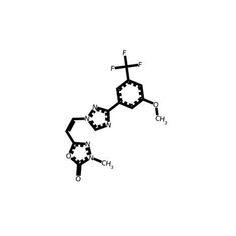 COc1cc(-c2ncn(/C=C\c3nn(C)c(=O)o3)n2)cc(C(F)(F)F)c1